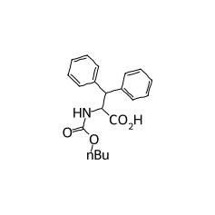 CCCCOC(=O)NC(C(=O)O)C(c1ccccc1)c1ccccc1